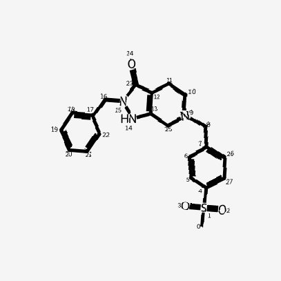 CS(=O)(=O)c1ccc(CN2CCc3c([nH]n(Cc4ccccc4)c3=O)C2)cc1